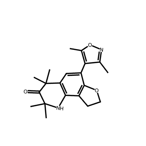 Cc1noc(C)c1-c1cc2c(c3c1OCC3)NC(C)(C)C(=O)C2(C)C